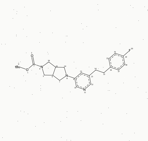 CC(C)(C)OC(=O)N1CC2CN(c3cncc(CCc4ccc(F)cc4)c3)CC2C1